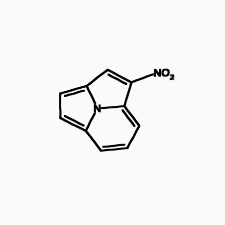 O=[N+]([O-])c1cc2ccc3cccc1n32